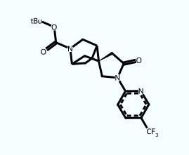 CC(C)(C)OC(=O)N1CC2CCC1C[C@]21CC(=O)N(c2ccc(C(F)(F)F)cn2)C1